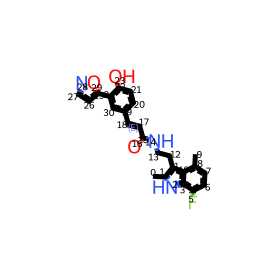 Cc1[nH]c2c(F)ccc(C)c2c1CCNC(=O)/C=C/c1ccc(O)c(-c2ccno2)c1